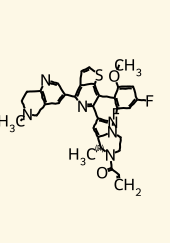 C=CC(=O)N1CCn2nc(-c3nc(-c4cnc5c(c4)CN(C)CC5)c4ccsc4c3-c3c(F)cc(F)cc3OC)cc2[C@H]1C